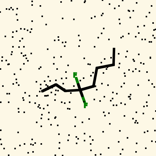 CCC[CH]C(F)(F)CCC